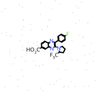 O=C(O)c1ccc2nc(-c3ccc(F)cc3)c(N3CCCC3C(F)(F)F)nc2c1